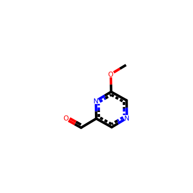 COc1cncc(C=O)n1